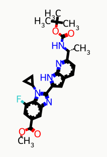 COC(=O)c1cc(F)c2c(c1)nc(-c1cc3ccc([C@@H](C)NC(=O)OC(C)(C)C)nc3[nH]1)n2C1CC1